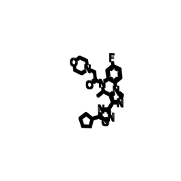 CC1c2c(-c3noc(C4CCCC4)n3)ncn2-c2ccc(F)cc2N1C(=O)CN1CCOCC1